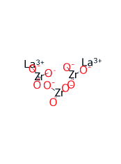 [La+3].[La+3].[O]=[Zr]([O-])[O-].[O]=[Zr]([O-])[O-].[O]=[Zr]([O-])[O-]